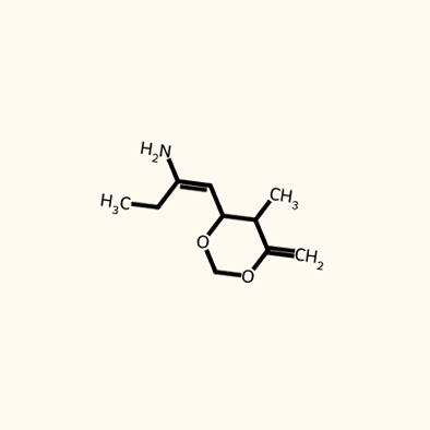 C=C1OCOC(/C=C(/N)CC)C1C